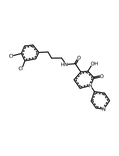 O=C(NCCCc1ccc(Cl)c(Cl)c1)c1ccn(-c2ccncc2)c(=O)c1O